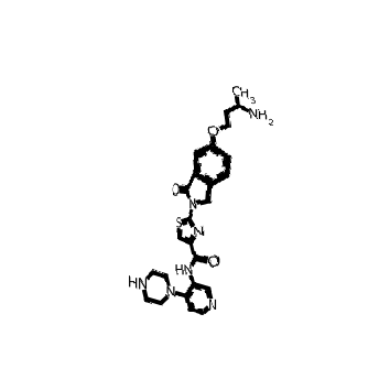 CC(N)CCOc1ccc2c(c1)C(=O)N(c1nc(C(=O)Nc3cnccc3N3CCNCC3)cs1)C2